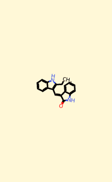 CCc1[nH]c2ccccc2c1/C=C1/C(=O)Nc2ccccc21